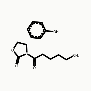 CCCCCC(=O)N1CCOC1=O.Oc1ccccc1